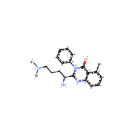 CCN(CC)CCCC(N)c1nc2cccc(C)c2c(=O)n1-c1ccccc1